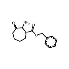 NC1C(=O)CCCCN1C(=O)OCc1ccccc1